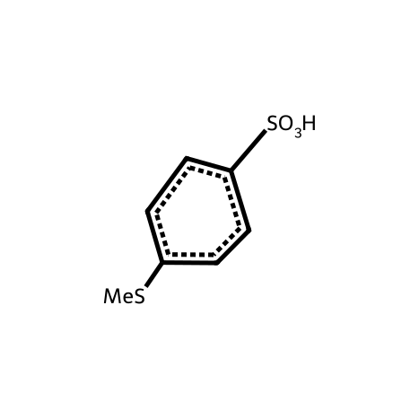 [CH2]Sc1ccc(S(=O)(=O)O)cc1